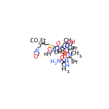 CCCC(=O)N(C)[C@H](CSCC[C@@H](CCCN1CCOCC1)C(=O)OCC)C(=O)N(C)[C@@H](CC(C)(C)O)C(=O)N[C@H](C(=O)N(C)[C@@H](CC(C)C)C(=O)N[C@H](C)C(N)=O)C(C)C